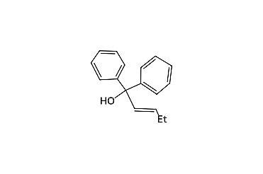 CC/C=C/C(O)(c1ccccc1)c1ccccc1